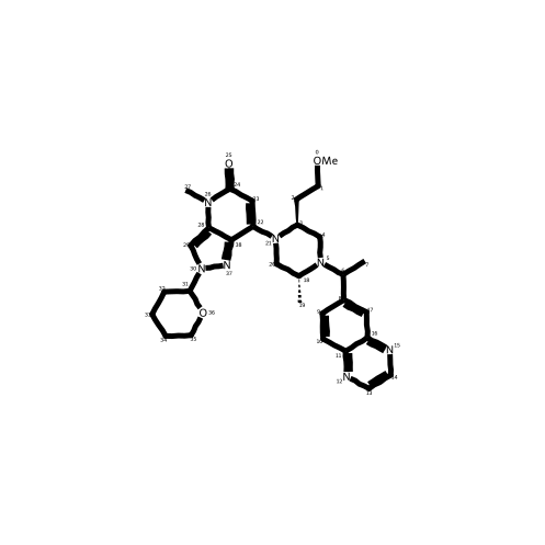 COCC[C@H]1CN(C(C)c2ccc3nccnc3c2)[C@H](C)CN1c1cc(=O)n(C)c2cn(C3CCCCO3)nc12